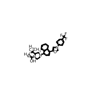 CC(C)(C)C1CN(c2ccc(C3=CN(c4ccc(C(F)(F)F)cc4)CO3)c3ccccc23)CCN1C(=O)O